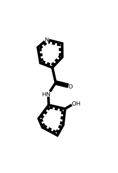 O=C(Nc1ccccc1O)c1ccncc1